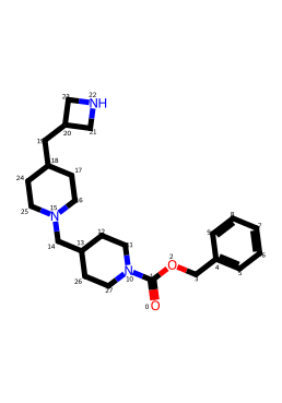 O=C(OCc1ccccc1)N1CCC(CN2CCC(CC3CNC3)CC2)CC1